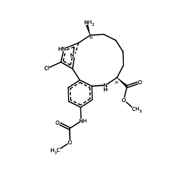 COC(=O)Nc1ccc2c(c1)N[C@H](C(=O)OC)CCCC[C@H](N)c1nc-2c(Cl)[nH]1